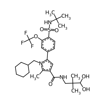 Cc1c(C(=O)NCC(C)(C)C(O)O)cc(-c2ccc(S(=O)(=O)NC(C)(C)C)c(OC(F)(F)F)c2)n1CC1CCCCC1